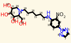 O=[N+]([O-])c1cc(-n2nccn2)ccc1NCCCCCCN1CC(O)[C@H](O)C(O)C1CO